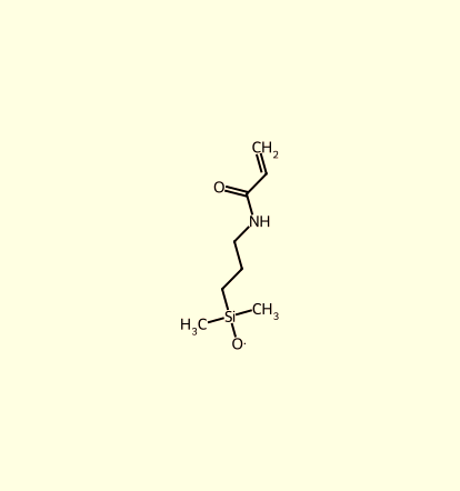 C=CC(=O)NCCC[Si](C)(C)[O]